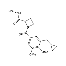 COc1cc(C(=O)N2CCC2C(=O)NO)cc(CC2CC2)c1OC